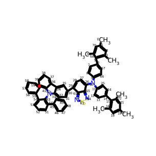 Cc1cc(C)c(-c2ccc(N(c3ccc(-c4c(C)cc(C)cc4C)cc3)c3ccc(-c4ccc5c(c4)c4ccccc4n5-c4c(-c5ccccc5)cccc4-c4ccccc4)c4nsnc34)cc2)c(C)c1